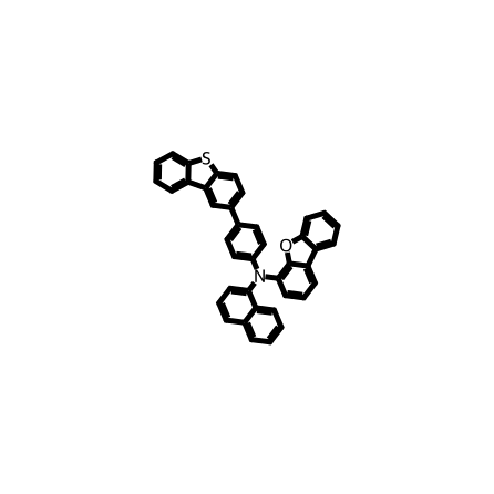 c1ccc2c(N(c3ccc(-c4ccc5sc6ccccc6c5c4)cc3)c3cccc4c3oc3ccccc34)cccc2c1